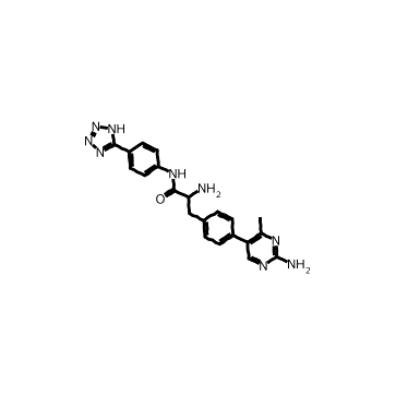 Cc1nc(N)ncc1-c1ccc(CC(N)C(=O)Nc2ccc(-c3nnn[nH]3)cc2)cc1